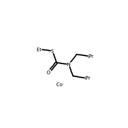 CCSC(=O)N(CC(C)C)CC(C)C.[Co]